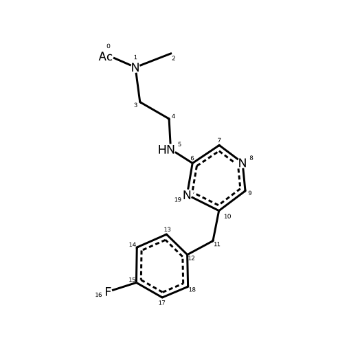 CC(=O)N(C)CCNc1cncc(Cc2ccc(F)cc2)n1